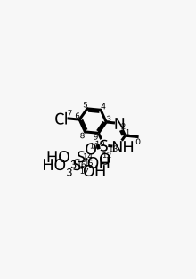 CC1=Nc2ccc(Cl)cc2S(=O)(=O)N1.O=S(=O)(O)O.O=S(=O)(O)O